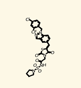 O=C(CN1C(=O)SC(=Cc2ccc3c(cnn3Cc3ccc(Cl)cc3C(F)(F)F)c2)C1=O)NS(=O)(=O)N1CCCC1